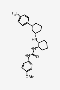 COc1ccc(NC(=O)N[C@@H]2CCCC[C@H]2N[C@H]2CCCN(c3ccc(C(F)(F)F)cc3)C2)cc1